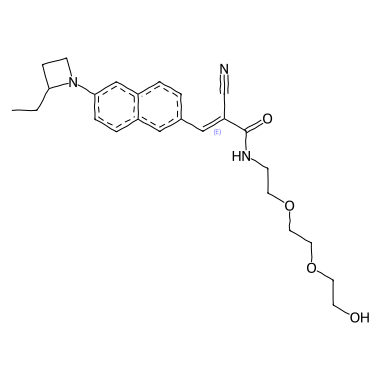 CCC1CCN1c1ccc2cc(/C=C(\C#N)C(=O)NCCOCCOCCO)ccc2c1